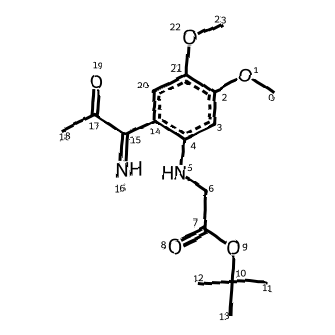 COc1cc(NCC(=O)OC(C)(C)C)c(C(=N)C(C)=O)cc1OC